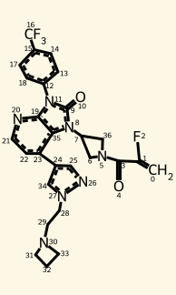 C=C(F)C(=O)N1CC(n2c(=O)n(-c3ccc(C(F)(F)F)cc3)c3nccc(-c4cnn(CCN5CCC5)c4)c32)C1